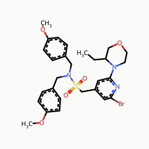 CCC1COCCN1c1cc(CS(=O)(=O)N(Cc2ccc(OC)cc2)Cc2ccc(OC)cc2)cc(Br)n1